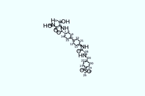 C[C@@H](O)[C@H](NC(=O)c1ccc(-c2ccc(NC(=O)CNCc3ccc(S(C)(=O)=O)cc3)cc2)cc1)C(=O)NO